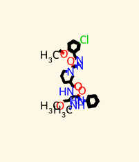 CCOc1ccc(Cl)cc1-c1nnc(N2CCCC(C(=O)N/C(C(=O)Nc3ccccc3)=C(\COC)NC)C2)o1